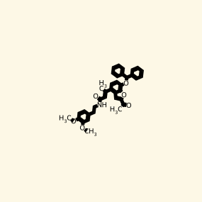 COc1ccc(CCNC(=O)C=C(C)c2ccc(OC(c3ccccc3)c3ccccc3)c3oc(C(C)=O)cc23)cc1OC